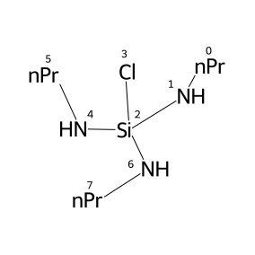 CCCN[Si](Cl)(NCCC)NCCC